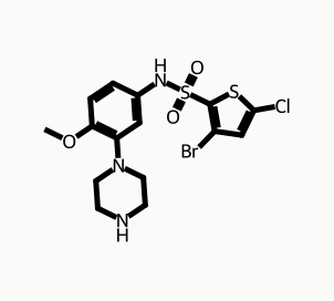 COc1ccc(NS(=O)(=O)c2sc(Cl)cc2Br)cc1N1CCNCC1